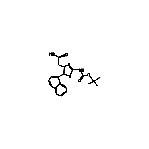 CC(C)(C)OC(=O)Nc1nc(CC(=O)O)c(-c2cccc3ccccc23)s1